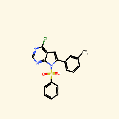 O=S(=O)(c1ccccc1)n1c(-c2cccc(C(F)(F)F)c2)cc2c(Cl)ncnc21